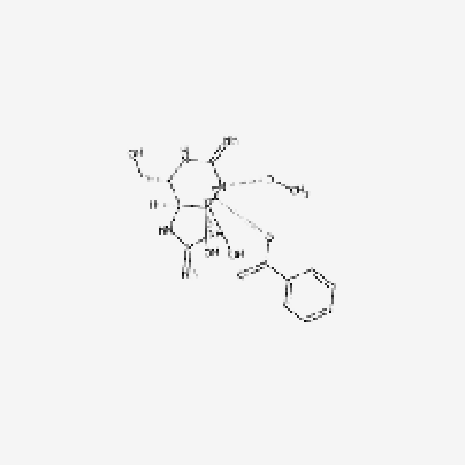 CO[C@H]1[C@H](OC(=O)c2ccccc2)C(O)(O)[C@]23NC(=N)N[C@H]2[C@H](CO)NC(=N)N13